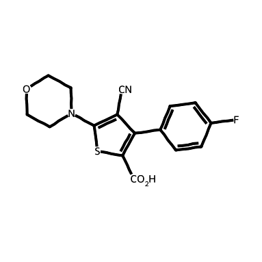 N#Cc1c(N2CCOCC2)sc(C(=O)O)c1-c1ccc(F)cc1